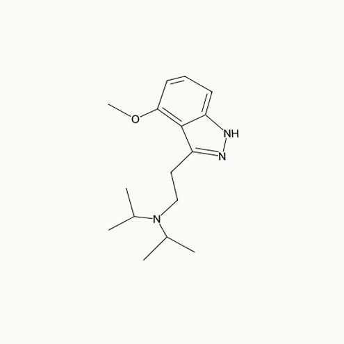 COc1cccc2[nH]nc(CCN(C(C)C)C(C)C)c12